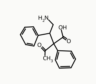 CC(=O)C(C(=O)O)(c1ccccc1)C(CN)c1ccccc1